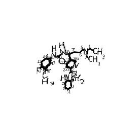 CCN(CC)CCCC(NC(=O)Nc1ccc(F)c(C)c1)c1ccc(C(=O)Nc2ccccc2N)nc1